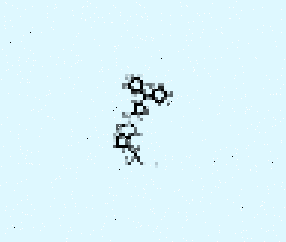 CC(=O)Oc1cccc2c1CCC(Cc1cc(C(c3ccccc3)c3ccccc3)ns1)C2